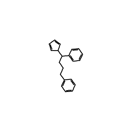 C1=CC(C(CCCc2ccccc2)c2ccccc2)C=C1